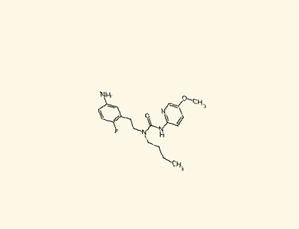 CCCCN(CCc1cc([NH])ccc1F)C(=O)Nc1ccc(OC)cn1